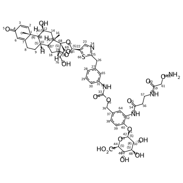 C[C@]12C=CC(=O)C=C1CC[C@@H]1[C@@H]2[C@@H](O)C[C@@]2(C)[C@H]1C[C@H]1O[C@H](c3cnc(Cc4cccc(NC(=O)OCc5ccc(O[C@@H]6O[C@H](C(=O)O)[C@@H](O)[C@H](O)[C@H]6O)c(NC(=O)CCNC(=O)CON)c5)c4)s3)O[C@]12C(=O)CO